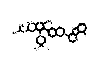 Cc1nc(C)c(-c2ccc3c(c2)CCN(c2ncnc4c2oc2cccc(F)c24)C3)c(N2CCC(C)(C)CC2)c1CC(=O)OC(C)C